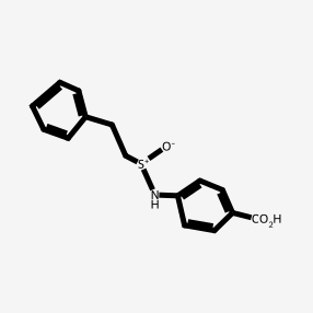 O=C(O)c1ccc(N[S+]([O-])CCc2ccccc2)cc1